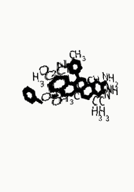 Cc1ccc(C2=C3C4CC(C)(C)CC[C@]4(C(=O)OCc4ccccc4)CC[C@@]3(C)[C@]3(C)CCC4C(C)(C)c5n[nH]c(N)c5C[C@]4(C)C3C2)cc1[N+](=O)[O-]